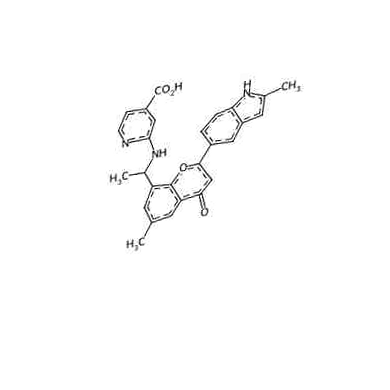 Cc1cc(C(C)Nc2cc(C(=O)O)ccn2)c2oc(-c3ccc4[nH]c(C)cc4c3)cc(=O)c2c1